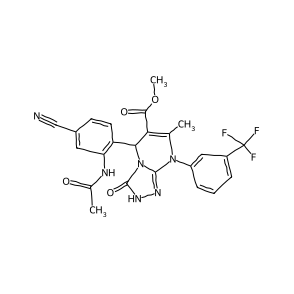 COC(=O)C1=C(C)N(c2cccc(C(F)(F)F)c2)c2n[nH]c(=O)n2C1c1ccc(C#N)cc1NC(C)=O